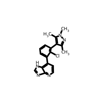 Cc1nn(C)c(C)c1-c1cccc(-c2ccnc3nc[nH]c23)c1Cl